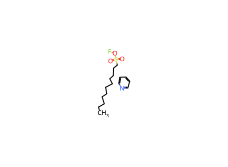 CCCCCCCCCCCS(=O)(=O)OF.c1ccncc1